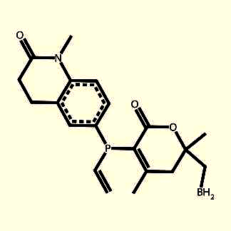 BCC1(C)CC(C)=C(P(C=C)c2ccc3c(c2)CCC(=O)N3C)C(=O)O1